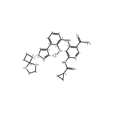 NC(=O)c1cnc(NC(=O)C2CC2)cc1Nc1cccc(-c2cnn([C@H]3CCC34OCCO4)c2)c1OC(F)(F)F